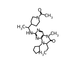 CCC1C(=O)N(C)c2cnc(NC(C)C3CCN(C(C)=O)CC3)nc2N1C1CCCC1